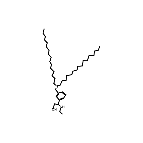 CCCCCCCCCCCCCCCCN(CCCCCCCCCCCCCCCC)Cc1cccc(C(CO)NCC)c1